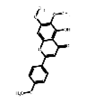 COc1ccc(-c2cc(=O)c3c(O)c(OC)c(OC)cc3o2)cc1